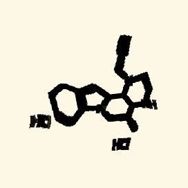 C#CCN1CCNC2C(C)=CN3C4=C(CCC=C4)CC3C21.Cl.Cl